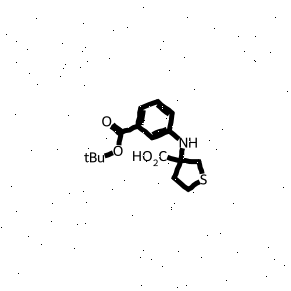 CC(C)(C)OC(=O)c1cccc(NC2(C(=O)O)CCSC2)c1